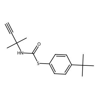 C#CC(C)(C)NC(=O)Sc1ccc(C(C)(C)C)cc1